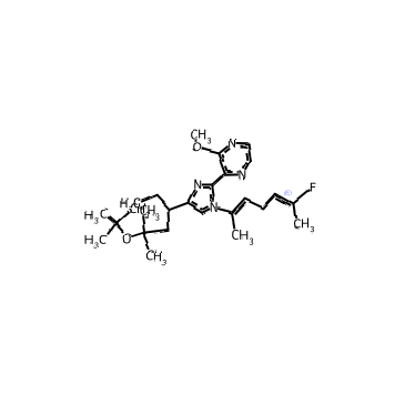 CCC(CC(C)(C)OC(C)(C)C)c1cn(C(C)=CC/C=C(\C)F)c(-c2nccnc2OC)n1